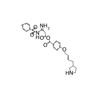 N[C@H](CC(=O)OC(=O)c1ccc(OCC=CCC2CCNC2)cc1)NS(=O)(=O)c1ccccc1